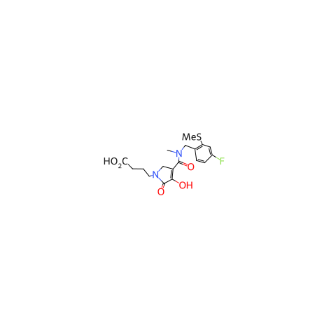 CSc1cc(F)ccc1CN(C)C(=O)C1=C(O)C(=O)N(CCCC(=O)O)C1